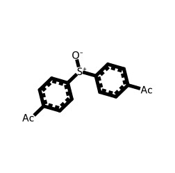 CC(=O)c1ccc([S+]([O-])c2ccc(C(C)=O)cc2)cc1